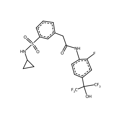 O=C(Cc1cccc(S(=O)(=O)NC2CC2)c1)Nc1ccc(C(O)(C(F)(F)F)C(F)(F)F)cc1F